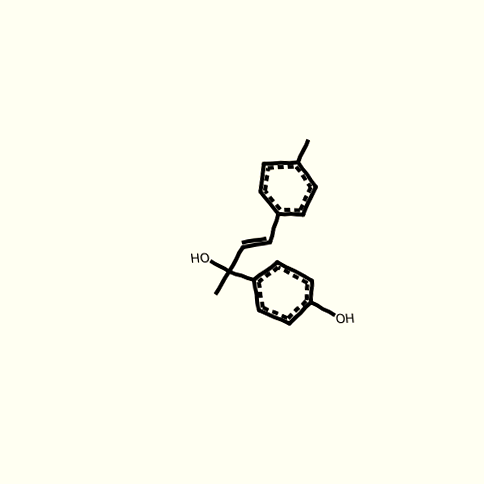 Cc1ccc(C=CC(C)(O)c2ccc(O)cc2)cc1